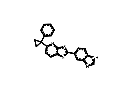 c1ccc(C2(c3ccc4nc(-c5ccc6[nH]cnc6c5)sc4n3)CC2)cc1